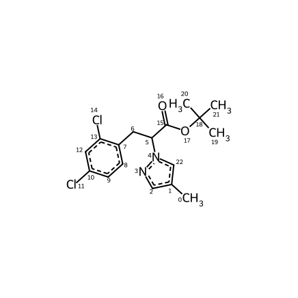 Cc1cnn(C(Cc2ccc(Cl)cc2Cl)C(=O)OC(C)(C)C)c1